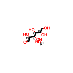 O=C[C@H](O)[C@@H](O)[C@H](O)[C@H](O)CO.[K+].[OH-]